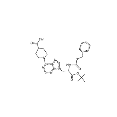 CC(C)(C)OC(=O)[C@H](Cn1cnc2c(N3CCC(C(=O)O)CC3)ncnc21)NC(=O)OCc1ccccc1